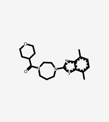 Cc1ccc(C)c2sc(N3CCCN(C(=O)C4CCOCC4)CC3)nc12